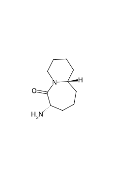 N[C@H]1CCC[C@H]2CCCCN2C1=O